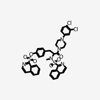 CN(C(Cc1ccc(OS(=O)(=O)c2nccc3ccccc23)cc1)C(=O)N1CCN(c2ccc(Cl)c(Cl)c2)CC1)S(=O)(=O)c1nccc2ccccc12